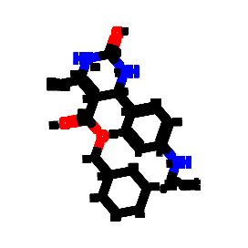 CCCCCNc1ccc(C2NC(=O)NC(CC)=C2C(=O)OCC2CCCCC2)cc1